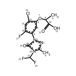 Cc1nn(-c2cc(OC(C)C(=O)O)c(Cl)cc2F)c(=O)n1C(F)F